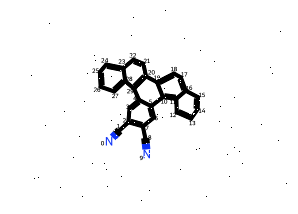 N#Cc1cc2c(cc1C#N)c1c3ccccc3ccc1c1ccc3ccccc3c12